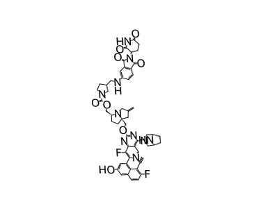 C#Cc1c(F)ccc2cc(O)cc(-c3ncc4c(N5CC6CCC(C5)N6)nc(OC[C@@]56CC[C@@H](COC(=O)N7CCC(CNc8ccc9c(c8)C(=O)N(C8CCC(=O)NC8=O)C9=O)C7)N5CC(=C)C6)nc4c3F)c12